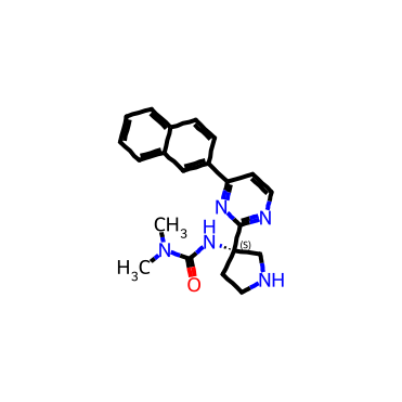 CN(C)C(=O)N[C@@]1(c2nccc(-c3ccc4ccccc4c3)n2)CCNC1